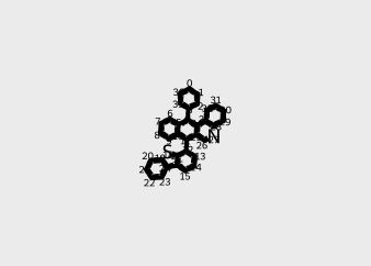 c1ccc(-c2c3ccccc3c(-c3cccc4c3sc3ccccc34)c3cnc4ccccc4c23)cc1